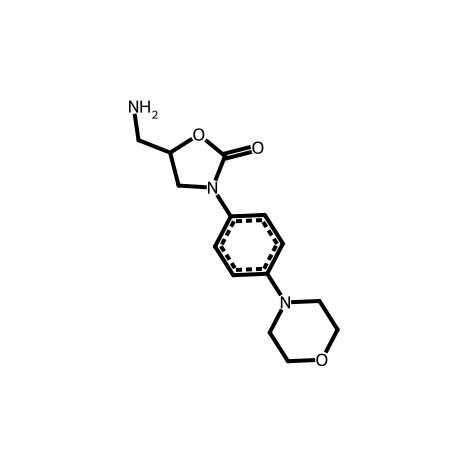 NCC1CN(c2ccc(N3CCOCC3)cc2)C(=O)O1